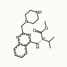 COC(=O)[C@@H](Nc1nc(CN2CCNCC2)nc2ccccc12)C(C)C